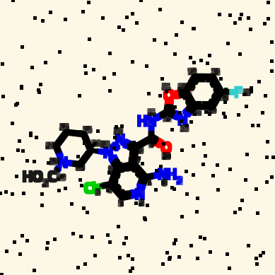 Nc1ncc(Cl)c2c1c(C(=O)Nc1nc3cc(F)ccc3o1)nn2[C@@H]1CCCN(C(=O)O)C1